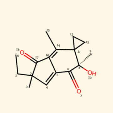 [CH2]CC1(C)C=C2C(=O)[C@](C)(O)C3(CC3)C(C)=C2C1=O